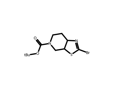 CC(C)(C)OC(=O)N1CCC2N=C(Br)SC2C1